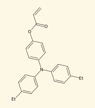 C=CC(=O)Oc1ccc(N(c2ccc(CC)cc2)c2ccc(CC)cc2)cc1